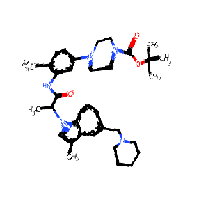 Cc1ccc(N2CCN(C(=O)OC(C)(C)C)CC2)cc1NC(=O)C(C)n1cc(C)c2cc(CN3CCCCC3)ccc21